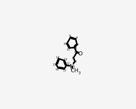 CN(CCC(=O)c1ccccc1)c1ccccc1